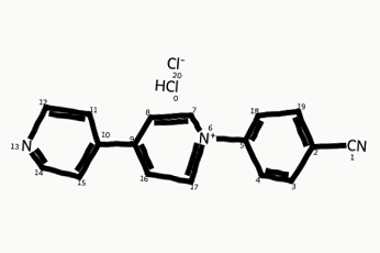 Cl.N#Cc1ccc(-[n+]2ccc(-c3ccncc3)cc2)cc1.[Cl-]